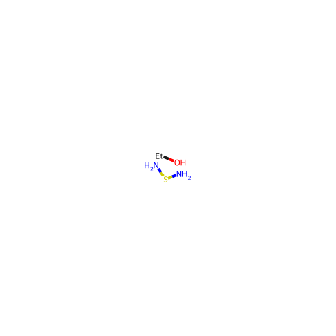 CCO.NSN